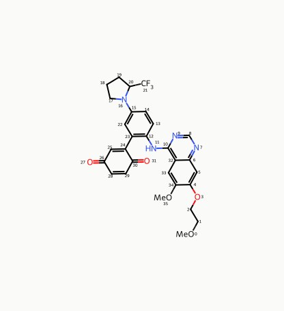 COCCOc1cc2ncnc(Nc3ccc(N4CCCC4C(F)(F)F)cc3C3=CC(=O)C=CC3=O)c2cc1OC